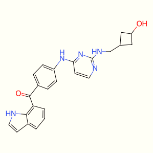 O=C(c1ccc(Nc2ccnc(NCC3CC(O)C3)n2)cc1)c1cccc2cc[nH]c12